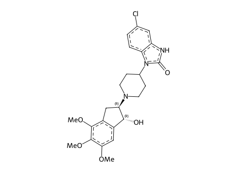 COc1cc2c(c(OC)c1OC)C[C@@H](N1CCC(n3c(=O)[nH]c4cc(Cl)ccc43)CC1)[C@@H]2O